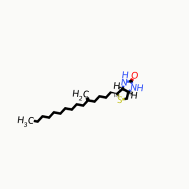 C=C(CCCCCCCCCC)CCCC[C@@H]1SC[C@@H]2NC(=O)N[C@@H]21